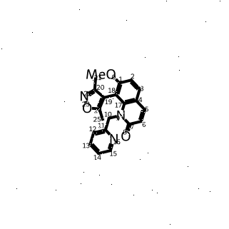 COc1ccc2ccc(=O)n(Cc3ccccn3)c2c1-c1c(C)noc1C